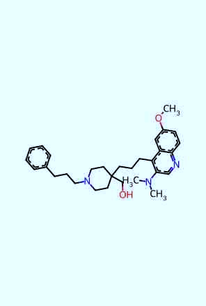 COc1ccc2ncc(N(C)C)c(CCCC3(CO)CCN(CCCc4ccccc4)CC3)c2c1